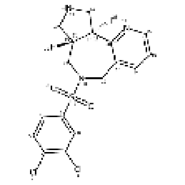 O=S(=O)(c1ccc(Cl)c(Cl)c1)N1Cc2cccnc2[C@@H]2CNC[C@H]2C1